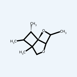 CC1O[C@@]23C1OCC2(C)C(C)[C@@H]3C